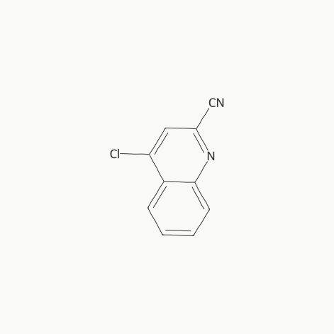 N#Cc1cc(Cl)c2ccccc2n1